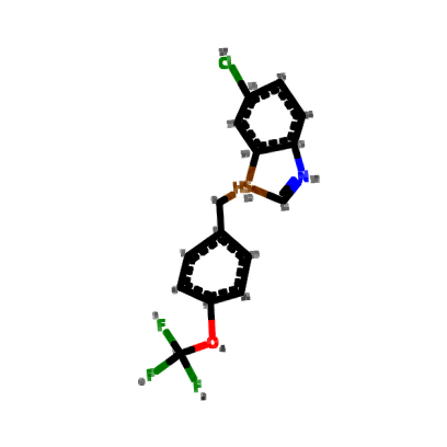 FC(F)(F)Oc1ccc(C[SH]2C=Nc3ccc(Cl)cc32)cc1